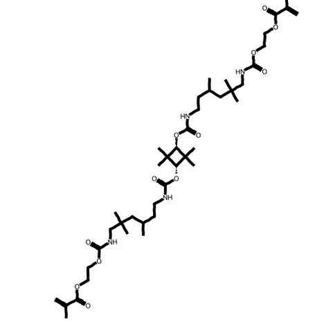 C=C(C)C(=O)OCCOC(=O)NCC(C)(C)CC(C)CCNC(=O)O[C@H]1C(C)(C)[C@H](OC(=O)NCCC(C)CC(C)(C)CNC(=O)OCCOC(=O)C(=C)C)C1(C)C